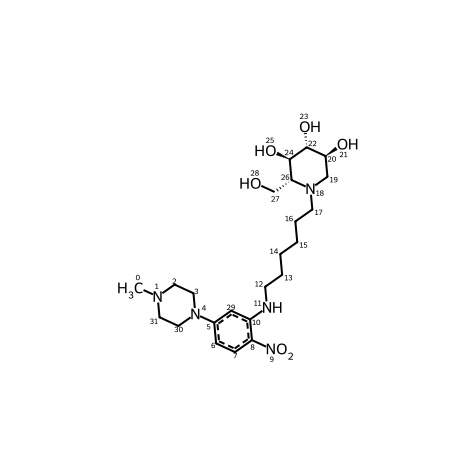 CN1CCN(c2ccc([N+](=O)[O-])c(NCCCCCCN3C[C@H](O)[C@@H](O)[C@H](O)[C@H]3CO)c2)CC1